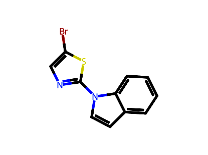 Brc1cnc(-n2ccc3ccccc32)s1